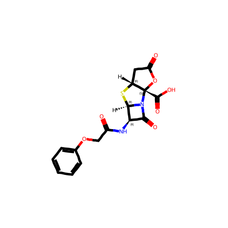 O=C(COc1ccccc1)N[C@@H]1C(=O)N2[C@@H]1S[C@@H]1CC(=O)O[C@@]12C(=O)O